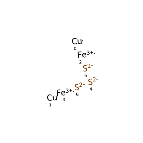 [Cu].[Cu].[Fe+3].[Fe+3].[S-2].[S-2].[S-2]